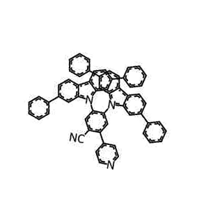 N#Cc1cc(-n2c3cc(-c4ccccc4)ccc3c3ccc(-c4ccccc4)cc32)c(-n2c3cc(-c4ccccc4)ccc3c3ccc(-c4ccccc4)cc32)cc1-c1ccncc1